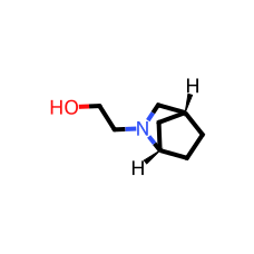 OCCN1C[C@@H]2CC[C@H]1C2